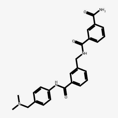 CN(C)Cc1ccc(NC(=O)c2cccc(CNC(=O)c3cccc(C(N)=O)c3)c2)cc1